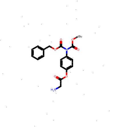 CC(C)(C)OC(=O)N(C(=O)OCc1ccccc1)c1ccc(OC(=O)CN)cc1